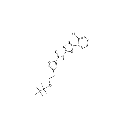 CC(C)(C)[Si](C)(C)OCCc1cc(C(=O)Nc2nnc(-c3ccccc3Cl)s2)on1